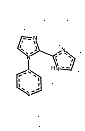 c1ccc(-n2ccnc2-c2ncc[nH]2)cc1